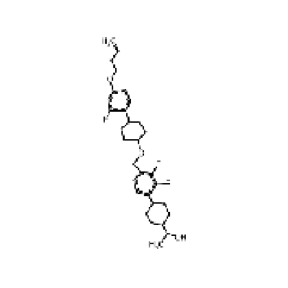 C=CCCOc1ccc(C2CCC(OCc3ccc(C4CCC(C(C)O)CC4)c(F)c3F)CC2)c(F)c1